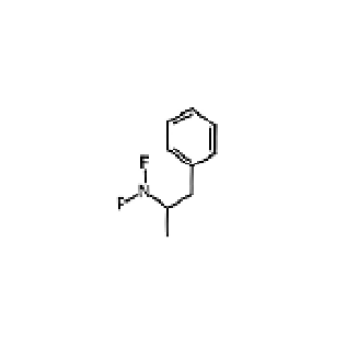 CC(Cc1ccccc1)N(F)F